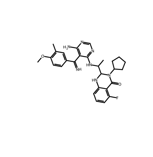 COc1ccc(C(=N)c2c(N)ncnc2NC(C)C2Nc3cccc(F)c3C(=O)N2C2CCCC2)cc1C